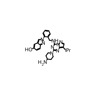 CC(C)c1cnn2c(NCc3ccccc3-n3cc4cc(O)ccc4n3)nc(N3CCC(N)CC3)nc12